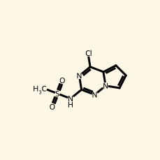 CS(=O)(=O)Nc1nc(Cl)c2cccn2n1